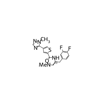 CNC[C@H](Cc1ccc(F)c(F)c1)NC(=O)c1cc(-c2ncnn2C)cs1